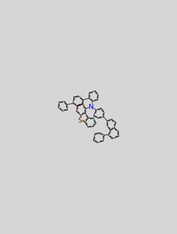 c1ccc(-c2ccc(-c3ccccc3N(c3ccc(-c4ccc5cccc(-c6ccccc6)c5c4)cc3)c3cccc4sc5ccccc5c34)cc2)cc1